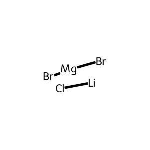 [Br][Mg][Br].[Li][Cl]